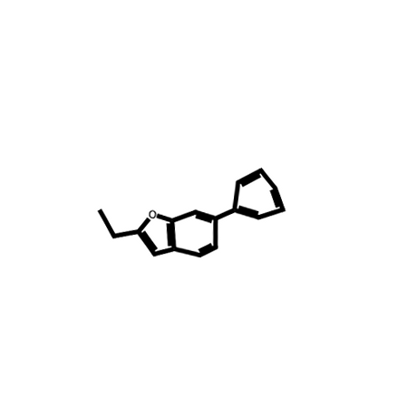 CCc1cc2ccc(-c3ccccc3)cc2o1